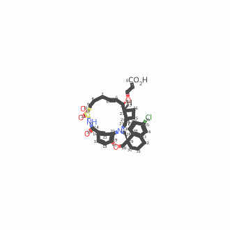 O=C(O)CCO[C@@H]1/C=C/CCCS(=O)(=O)NC(=O)c2ccc3c(c2)N(C[C@@H]2CC[C@H]21)C[C@@]1(CCCc2cc(Cl)ccc21)CO3